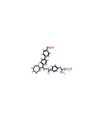 NC(Cc1ccc(C(=O)NCC(c2ccc(-c3ccc(CO)cc3)cc2)C2CCCCCC2)cc1)C(=O)O